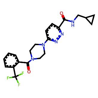 O=C(NCC1CC1)c1ccc(N2CCN(C(=O)c3ccccc3C(F)(F)F)CC2)nn1